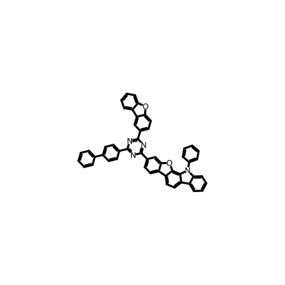 c1ccc(-c2ccc(-c3nc(-c4ccc5c(c4)oc4c5ccc5c6ccccc6n(-c6ccccc6)c54)nc(-c4ccc5oc6ccccc6c5c4)n3)cc2)cc1